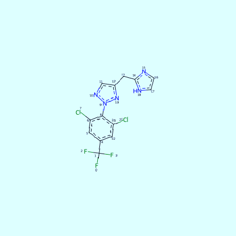 FC(F)(F)c1cc(Cl)c(-n2ncc(Cc3ncc[nH]3)n2)c(Cl)c1